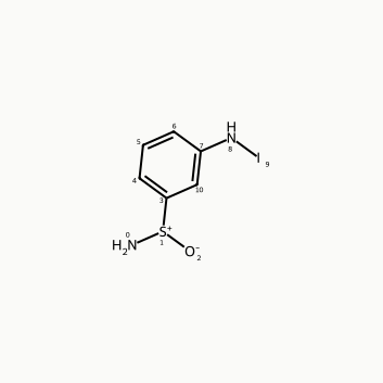 N[S+]([O-])c1cccc(NI)c1